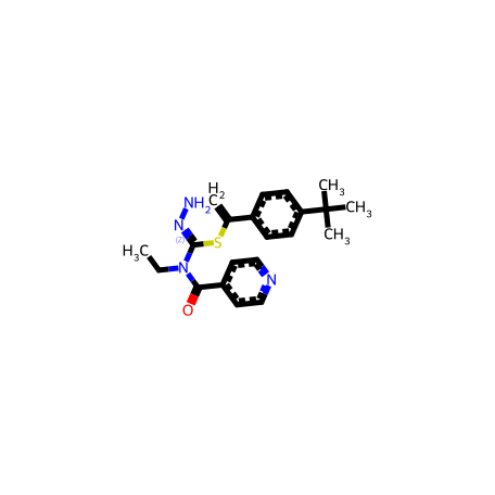 C=C(S/C(=N\N)N(CC)C(=O)c1ccncc1)c1ccc(C(C)(C)C)cc1